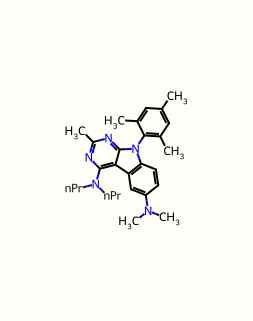 CCCN(CCC)c1nc(C)nc2c1c1cc(N(C)C)ccc1n2-c1c(C)cc(C)cc1C